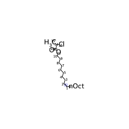 CCCCCCCC/C=C\CCCCCCCCOC(=O)C(C)Cl